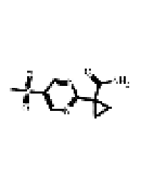 CS(=O)(=O)c1cnc(C2(C(N)=O)CC2)nc1